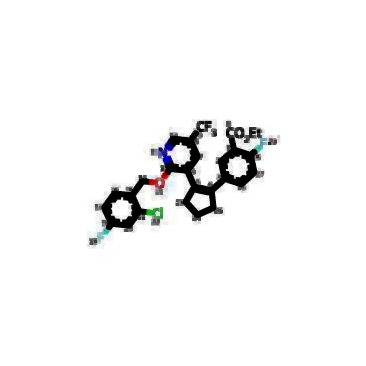 CCOC(=O)c1cc(C2=C(c3cc(C(F)(F)F)cnc3OCc3ccc(F)cc3Cl)CCC2)ccc1F